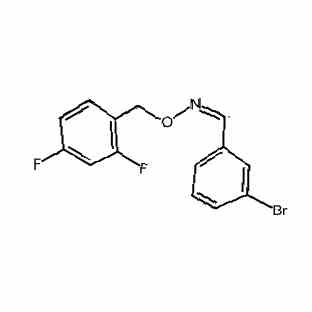 Fc1ccc(CO/N=[C]\c2cccc(Br)c2)c(F)c1